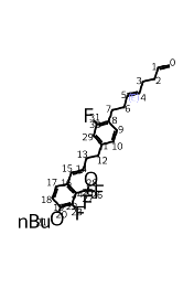 C=CCC/C=C/CCc1ccc(CCC2=Cc3ccc(OCCCC)c(F)c3C(F)(F)O2)cc1F